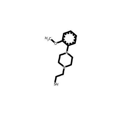 COc1ccccc1N1CCN(CCS)CC1